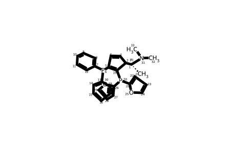 C[C@H](C1C=CC(P(c2ccccc2)c2ccccc2)=C1P(c1ccco1)c1ccco1)N(C)C